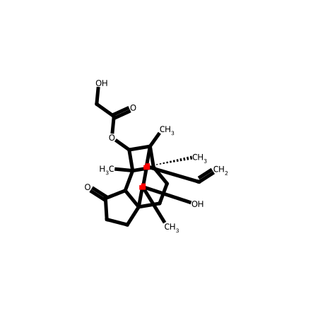 C=C[C@]1(C)CC2(C)C3CCC4(CCC(=O)C4C3(C)C2OC(=O)CO)C(C)C1O